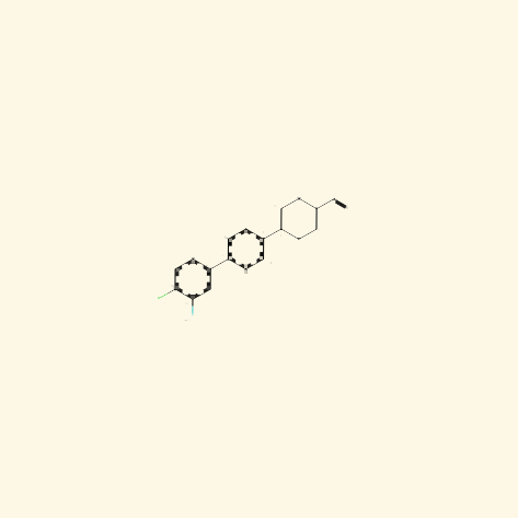 C=CC1CCC(c2ccc(-c3ccc(Cl)c(F)c3)cc2)CC1